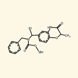 CCC(c1ccc2c(c1)NC(=O)C(C)O2)N(Cc1ccccc1)C(=O)OC(C)(C)C